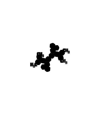 Cc1ccc(N(c2ccc(C)cc2)c2ccc(N(c3ccc(-c4ccc(N(c5ccc(N(c6ccc(C)cc6)c6ccc(C)cc6)cc5)c5ccc6c(c5)C5(CCCCC5)c5ccccc5-6)cc4)cc3)c3ccc4c(c3)C3(CCCCC3)c3ccccc3-4)cc2)cc1